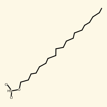 CCCCCCCCCCCCCCCCCCCO[SiH](Cl)Cl